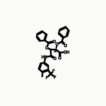 Cc1ccc(NC(=O)C(OC(=O)c2ccccc2)[C@@H](OC(=O)c2ccccc2)C(=O)O)cc1C(F)(F)F